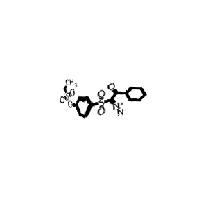 CCS(=O)(=O)Oc1ccc(S(=O)(=O)C(=[N+]=[N-])C(=O)C2CCCCC2)cc1